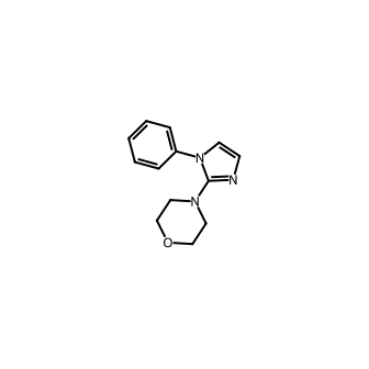 c1ccc(-n2ccnc2N2CCOCC2)cc1